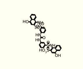 O=C(Nc1cccc(S(=O)(=O)Nc2c(S(=O)(=O)O)cc(O)c3ccccc23)c1)Nc1cccc(S(=O)(=O)Nc2c(S(=O)(=O)O)cc(O)c3ccccc23)c1